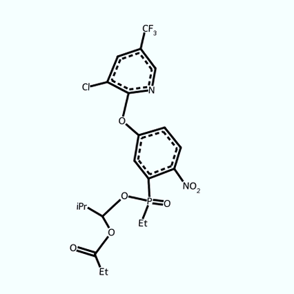 CCC(=O)OC(OP(=O)(CC)c1cc(Oc2ncc(C(F)(F)F)cc2Cl)ccc1[N+](=O)[O-])C(C)C